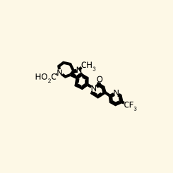 Cn1c2c(c3ccc(-n4ccc(-c5ccc(C(F)(F)F)cn5)cc4=O)cc31)CN(C(=O)O)CCC2